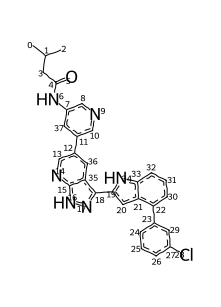 CC(C)CC(=O)Nc1cncc(-c2cnc3[nH]nc(-c4cc5c(-c6cccc(Cl)c6)cccc5[nH]4)c3c2)c1